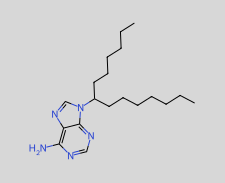 CCCCCCCC(CCCCCC)n1cnc2c(N)ncnc21